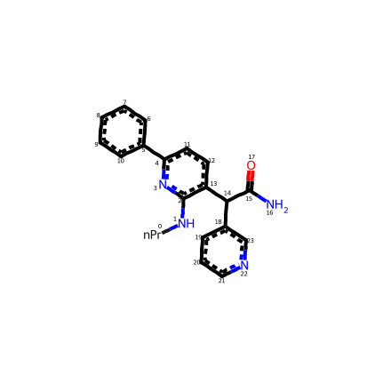 CCCNc1nc(-c2ccccc2)ccc1C(C(N)=O)c1cccnc1